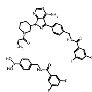 C=CC(=O)N1CCC[C@@H](n2nc(-c3ccc(CNC(=O)c4cc(F)cc(F)c4)cc3)c3c(N)ncnc32)C1.O=C(NCc1ccc(B(O)O)cc1)c1cc(F)cc(F)c1